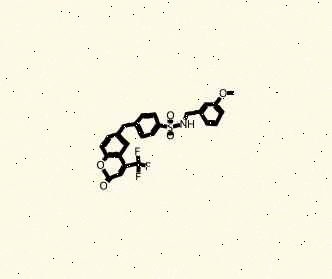 COc1cccc(CNS(=O)(=O)c2ccc(Cc3ccc4oc(=O)cc(C(F)(F)F)c4c3)cc2)c1